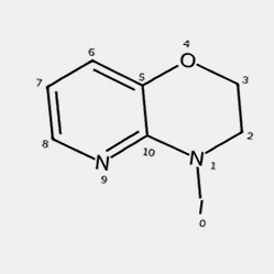 IN1CCOc2cccnc21